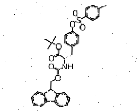 Cc1ccc(S(=O)(=O)Oc2ccc(C[C@H](NC(=O)OCC3c4ccccc4-c4ccccc43)C(=O)OC(C)(C)C)cc2)cc1